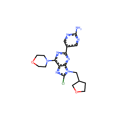 Nc1ncc(-c2nc(N3CCOCC3)c3nc(Cl)n(CC4CCOC4)c3n2)cn1